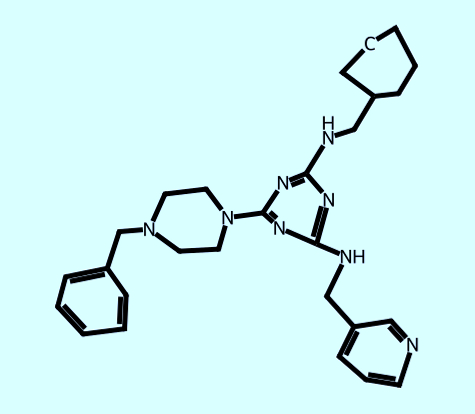 c1ccc(CN2CCN(c3nc(NCc4cccnc4)nc(NCC4CCCCC4)n3)CC2)cc1